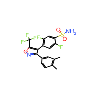 Cc1ccc(-c2noc(C(F)(F)F)c2-c2cc(F)c(S(N)(=O)=O)cc2F)cc1C